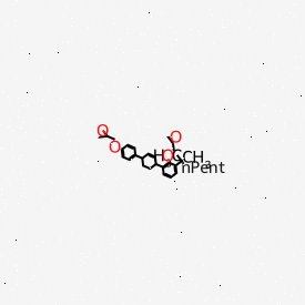 CCCCCC(C)(C)c1cccc(C2C=CC(c3ccc(OCC4CO4)cc3)CC2)c1OCC1CO1